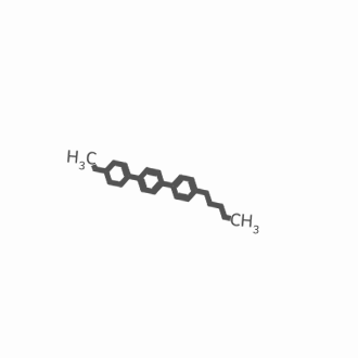 CCCCCc1ccc(-c2ccc(C3=CCC(CC)CC3)cc2)cc1